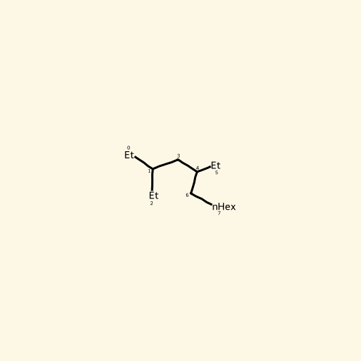 [CH2]CC(CC)CC(CC)CCCCCCC